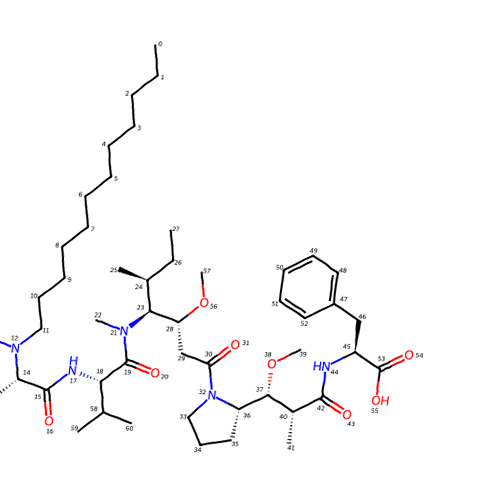 CCCCCCCCCCCCN(C)[C@H](C(=O)N[C@H](C(=O)N(C)[C@@H]([C@@H](C)CC)[C@@H](CC(=O)N1CCC[C@H]1[C@H](OC)[C@@H](C)C(=O)N[C@@H](Cc1ccccc1)C(=O)O)OC)C(C)C)C(C)C